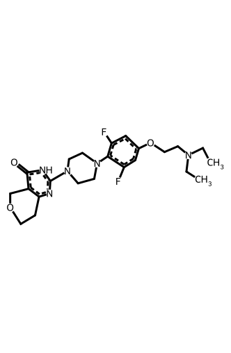 CCN(CC)CCOc1cc(F)c(N2CCN(c3nc4c(c(=O)[nH]3)COCC4)CC2)c(F)c1